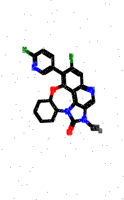 Cn1c(=O)n2c3c4c(c(-c5ccc(F)nc5)c(F)cc4ncc31)OC1CCCCC12